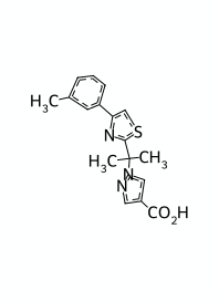 Cc1cccc(-c2csc(C(C)(C)n3cc(C(=O)O)cn3)n2)c1